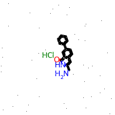 Cl.NCc1cc2ccc(-c3ccccc3)cc2c(=O)[nH]1